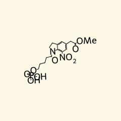 COC(=O)Cc1cc2c(c([N+](=O)[O-])c1)N(C(=O)CCCCOP(=O)(O)O)CC2